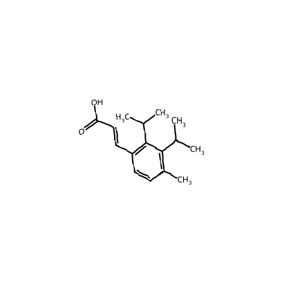 Cc1ccc(C=CC(=O)O)c(C(C)C)c1C(C)C